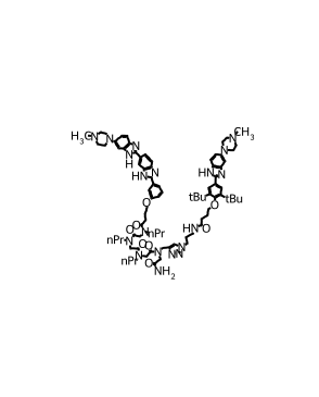 CCCN(CC(=O)N(CCC)CC(=O)N(CCC)CC(=O)N(CC(N)=O)Cc1cn(CCCNC(=O)CCCOc2c(C(C)(C)C)cc(-c3nc4cc(N5CCN(C)CC5)ccc4[nH]3)cc2C(C)(C)C)nn1)C(=O)CCCOc1cccc(-c2nc3ccc(-c4nc5ccc(N6CCN(C)CC6)cc5[nH]4)cc3[nH]2)c1